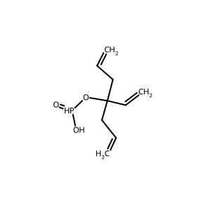 C=CCC(C=C)(CC=C)O[PH](=O)O